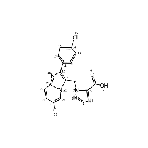 O=C(O)c1ncnn1Cc1c(-c2ccc(Cl)cc2)nc2ccc(Cl)cn12